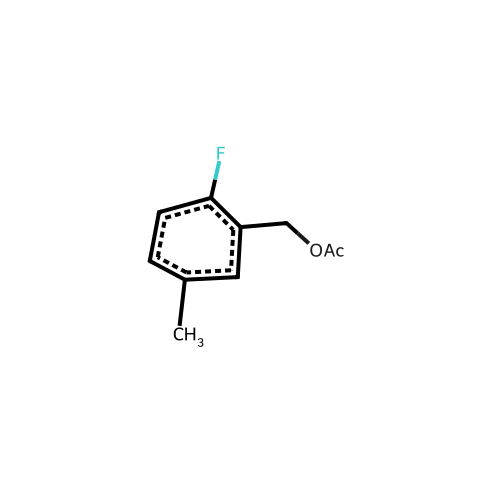 CC(=O)OCc1cc(C)ccc1F